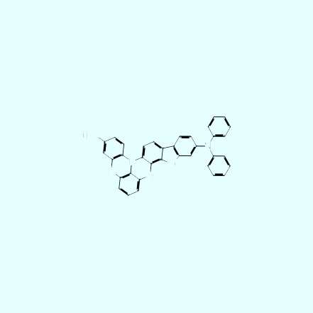 CC(C)(C)c1ccc2c(c1)Oc1cccc3c1B2c1ccc2c(oc4cc(N(c5ccccc5)c5ccccc5)ccc42)c1O3